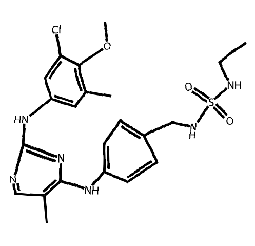 CCNS(=O)(=O)NCc1ccc(Nc2nc(Nc3cc(C)c(OC)c(Cl)c3)ncc2C)cc1